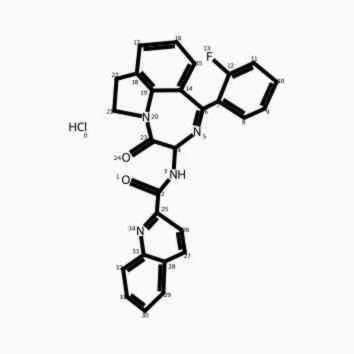 Cl.O=C(NC1N=C(c2ccccc2F)c2cccc3c2N(CC3)C1=O)c1ccc2ccccc2n1